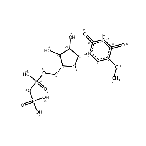 COc1cn([C@@H]2O[C@H](COP(=O)(O)OP(=O)(O)O)C(O)C2O)c(=O)[nH]c1=O